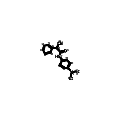 CCN(CC)c1ccc(NC(=O)C(C#N)c2ccccc2)cc1